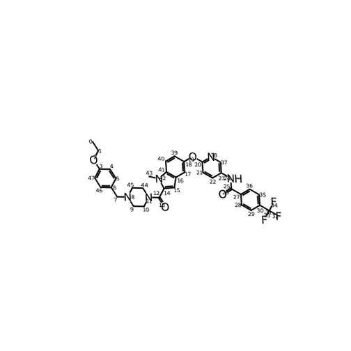 CCOc1ccc(CN2CCN(C(=O)c3cc4cc(Oc5ccc(NC(=O)c6ccc(C(F)(F)F)cc6)cn5)ccc4n3C)CC2)cc1